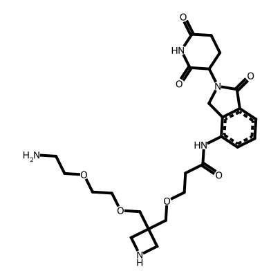 NCCOCCOCC1(COCCC(=O)Nc2cccc3c2CN(C2CCC(=O)NC2=O)C3=O)CNC1